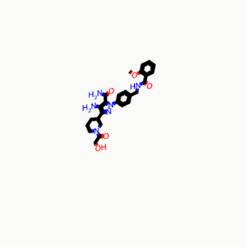 COc1ccccc1C(=O)NCc1ccc(-n2nc(C3CCCN(C(=O)CO)C3)c(N)c2C(N)=O)cc1